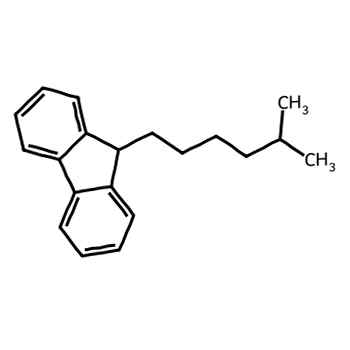 CC(C)CCCCC1c2ccccc2-c2ccccc21